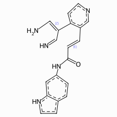 N=C/C(=C\N)c1ccncc1/C=C/C(=O)Nc1ccc2cc[nH]c2c1